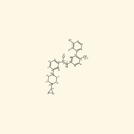 Cc1c(F)cccc1-c1nc(N[S+]([O-])c2cccc(N3CCN(C4CC4)CC3)n2)ccc1C(F)(F)F